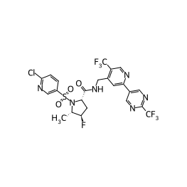 C[C@H]1[C@H](F)C[C@@H](C(=O)NCc2cc(-c3cnc(C(F)(F)F)nc3)ncc2C(F)(F)F)N1S(=O)(=O)c1ccc(Cl)nc1